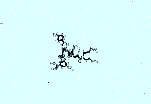 NCCN(CCN)C(=O)CC[C@H](N)C(=O)N[C@H](CCc1ccc(C(F)(F)F)cc1)C(=O)Nc1cc(B(O)O)cc(C(F)(F)F)c1